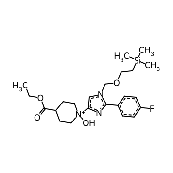 CCOC(=O)C1CC[N+](O)(c2cn(COCC[Si](C)(C)C)c(-c3ccc(F)cc3)n2)CC1